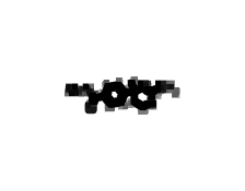 CNC(=O)c1ccc(C2(C)CCSC(N)=N2)cc1